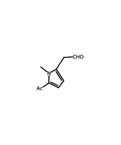 CC(=O)c1ccc(C[C]=O)n1C